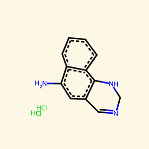 Cl.Cl.Nc1cc2c(c3ccccc13)NCN=C2